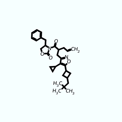 C=CCC(Cc1noc(C2CC(CC(C)(C)C)C2)c1C1CC1)C(=O)N1C(=O)OCC1Cc1ccccc1